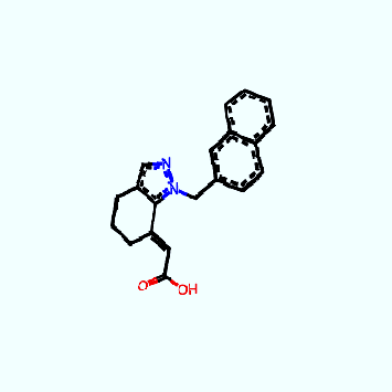 O=C(O)/C=C1\CCCc2cnn(Cc3ccc4ccccc4c3)c21